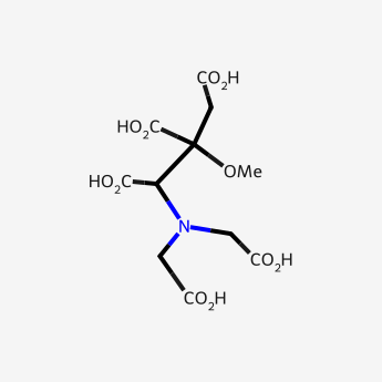 COC(CC(=O)O)(C(=O)O)C(C(=O)O)N(CC(=O)O)CC(=O)O